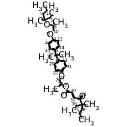 CCCC(C)(CC)OC(C)COc1ccc(C(C)(C)c2ccc(OCC(C)OC(=O)/C=C/C(=O)C(C)(CC)CCC)cc2)cc1